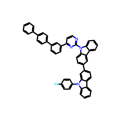 Fc1ccc(-n2c3ccccc3c3ccc(-c4ccc5c(c4)c4ccccc4n5-c4nccc(-c5cccc(-c6ccc(-c7ccccc7)cc6)c5)n4)cc32)cc1